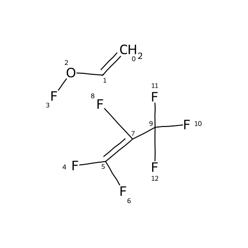 C=COF.FC(F)=C(F)C(F)(F)F